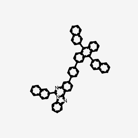 c1ccc2cc(-c3c4ccccc4c(-c4ccc5ccccc5c4)c4cc(-c5ccc(-c6ccc7c(c6)nc(-c6ccc8ccccc8c6)n6c8ccccc8nc76)cc5)ccc34)ccc2c1